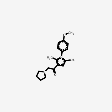 COc1ccc(-n2c(C)cc(C(=O)CN3CCCC3)c2C)cc1